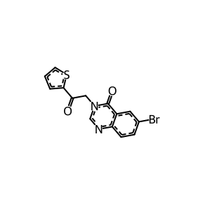 O=C(Cn1cnc2ccc(Br)cc2c1=O)c1cccs1